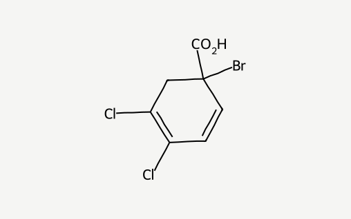 O=C(O)C1(Br)C=CC(Cl)=C(Cl)C1